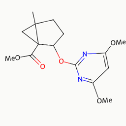 COC(=O)C12CC1(C)CCC2Oc1nc(OC)cc(OC)n1